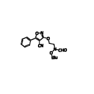 CC(C)(C)ON(C=O)CCOc1noc(-c2ccccc2)c1C#N